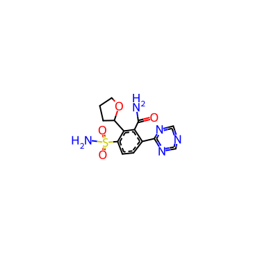 NC(=O)c1c(-c2ncncn2)ccc(S(N)(=O)=O)c1C1CCCO1